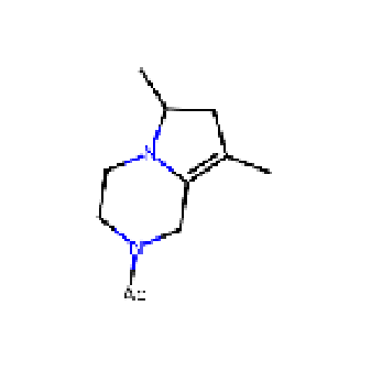 CC(=O)N1CCN2C(=C(C)CC2C)C1